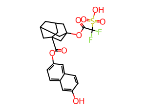 O=C(Oc1ccc2cc(O)ccc2c1)C12CC3CC(CC(OC(=O)C(F)(F)S(=O)(=O)O)(C3)C1)C2